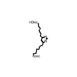 CCCCCCCCCCCCCCCCc1cc(CCCCCCCCCCCCCCCC)n[c]n1